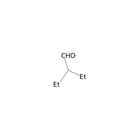 CCC([C]=O)CC